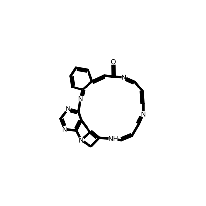 O=c1cc2ccccc2nc2ncnc3c2c2c([nH]cccncccn1)CN32